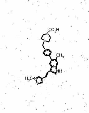 Cc1cc2[nH]nc(C=Cc3cnn(C)c3)c2cc1-c1ccc(CN2CCN(C(=O)O)CC2)cc1